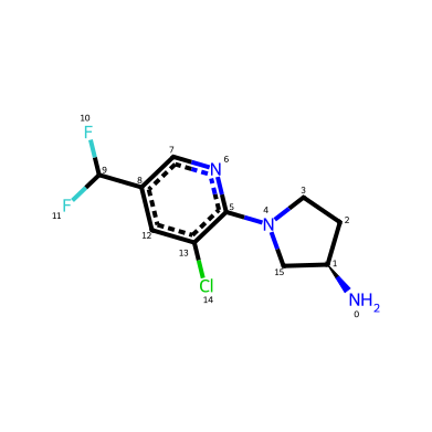 N[C@@H]1CCN(c2ncc(C(F)F)cc2Cl)C1